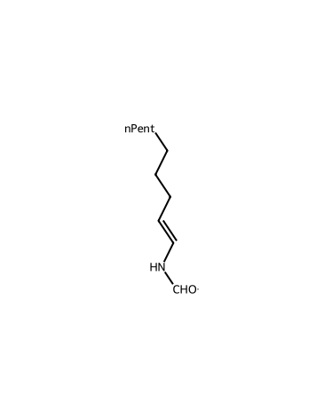 CCCCCCCCC=CN[C]=O